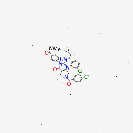 CNC(=O)c1ccc(-n2c(NC(c3ccccc3)[C@@H](C)C3CC3)nc3c(c2=O)C[C@@H](C)N(C(=O)c2ccc(Cl)c(Cl)c2)C3)cc1